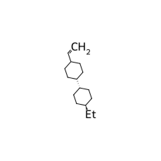 C=CC1CCC([C@H]2CC[C@H](CC)CC2)CC1